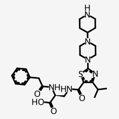 CC(C)c1nc(N2CCN(C3CCNCC3)CC2)sc1C(=O)NC[C@H](NC(=O)Cc1ccccc1)C(=O)O